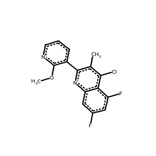 COc1ncccc1-c1nc2cc(F)cc(F)c2c(Cl)c1C